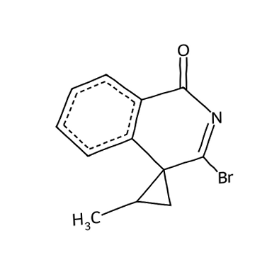 CC1CC12C(Br)=NC(=O)c1ccccc12